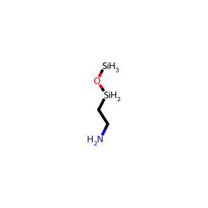 NCC[SiH2]O[SiH3]